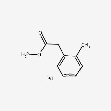 Cc1ccccc1CC(=O)OP.[Pd]